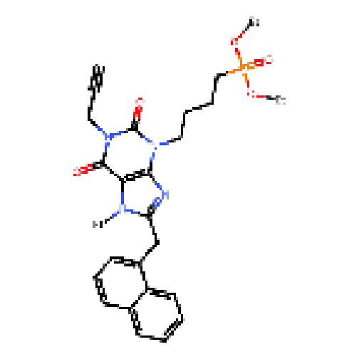 C#CCn1c(=O)c2c(nc(Cc3cccc4ccccc34)n2CC)n(CCCCP(=O)(OCC)OCC)c1=O